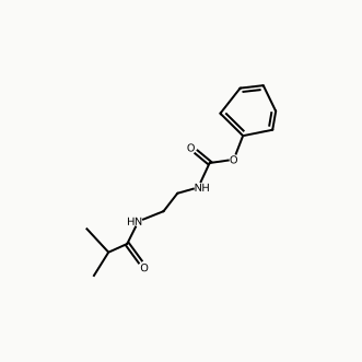 CC(C)C(=O)NCCNC(=O)Oc1ccccc1